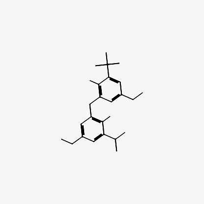 CCc1cc(Cc2cc(CC)cc(C(C)(C)C)c2O)c(O)c(C(C)C)c1